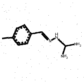 Cc1ccc(/C=N/NC(N)N)cc1